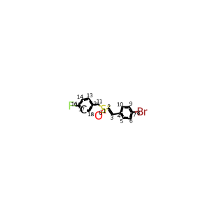 [O-][S+](C=Cc1ccc(Br)cc1)Cc1ccc(F)cc1